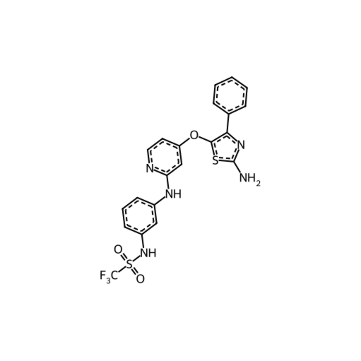 Nc1nc(-c2ccccc2)c(Oc2ccnc(Nc3cccc(NS(=O)(=O)C(F)(F)F)c3)c2)s1